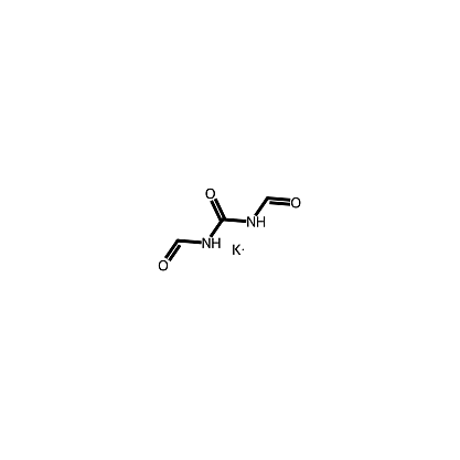 O=CNC(=O)NC=O.[K]